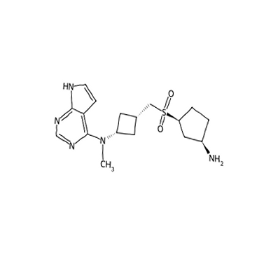 CN(c1ncnc2[nH]ccc12)[C@H]1C[C@@H](CS(=O)(=O)[C@H]2CC[C@@H](N)C2)C1